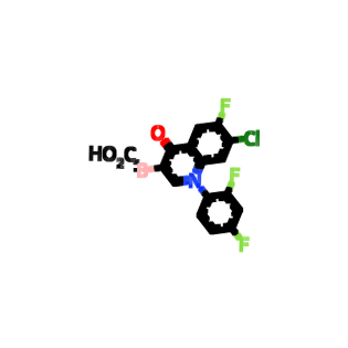 O=C(O)[B]c1cn(-c2ccc(F)cc2F)c2cc(Cl)c(F)cc2c1=O